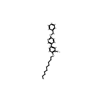 CCCCCCCCCCOc1ccc(-c2ccc(OCc3ccccc3)nc2)cc1F